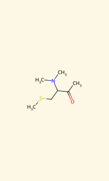 CSCC(C(C)=O)N(C)C